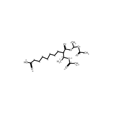 CC(=O)OC(C)OC(=O)C(CCCCCCCC(=O)O)C(C)OC(C)=O